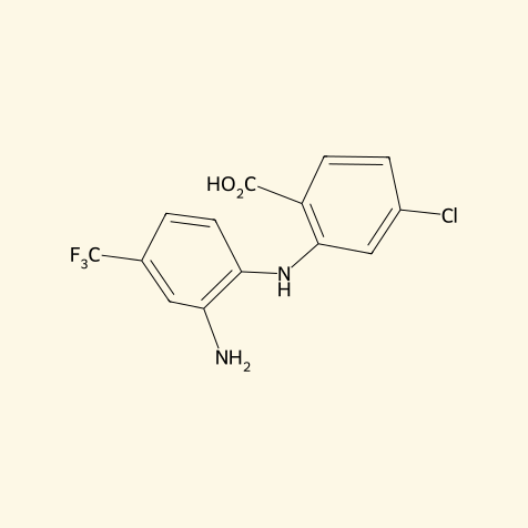 Nc1cc(C(F)(F)F)ccc1Nc1cc(Cl)ccc1C(=O)O